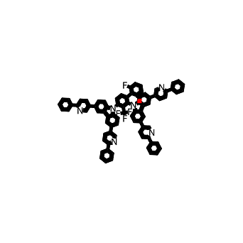 Fc1cccc(F)c1-c1ccc(-n2c3ccc(-c4ccc(-c5ccccc5)nc4)cc3c3cc(-c4ccc(-c5ccccc5)nc4)ccc32)c(C(F)(F)F)c1-n1c2ccc(-c3ccc(-c4ccccc4)nc3)cc2c2cc(-c3ccc(-c4ccccc4)nc3)ccc21